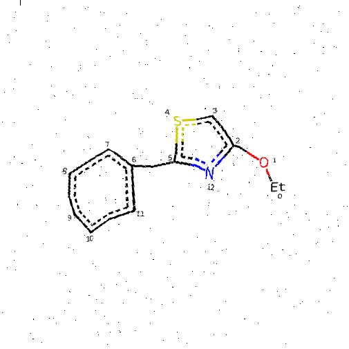 CCOc1csc(-c2cc[c]cc2)n1